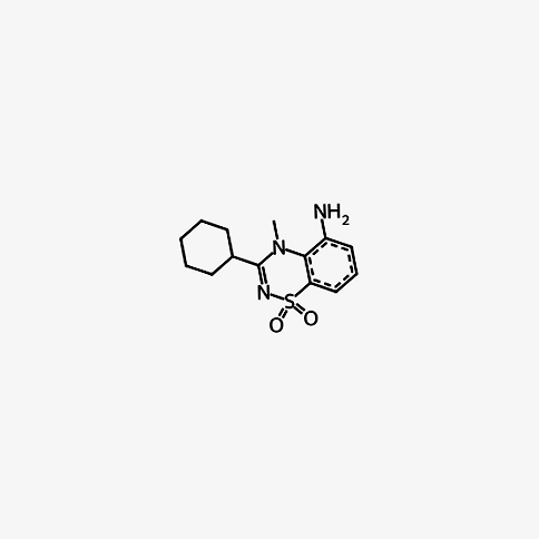 CN1C(C2CCCCC2)=NS(=O)(=O)c2cccc(N)c21